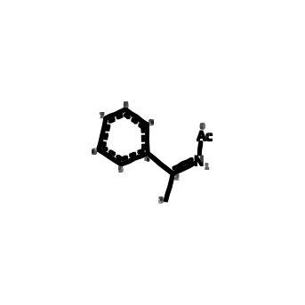 CC(=O)/N=C(/C)c1ccccc1